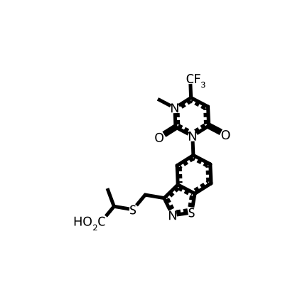 CC(SCc1nsc2ccc(-n3c(=O)cc(C(F)(F)F)n(C)c3=O)cc12)C(=O)O